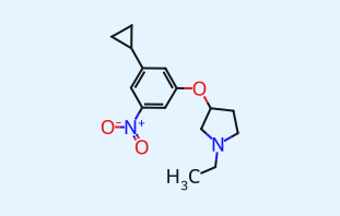 CCN1CCC(Oc2cc(C3CC3)cc([N+](=O)[O-])c2)C1